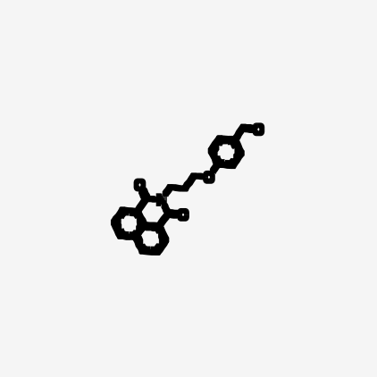 O=Cc1ccc(OCCCN2C(=O)c3cccc4cccc(c34)C2=O)cc1